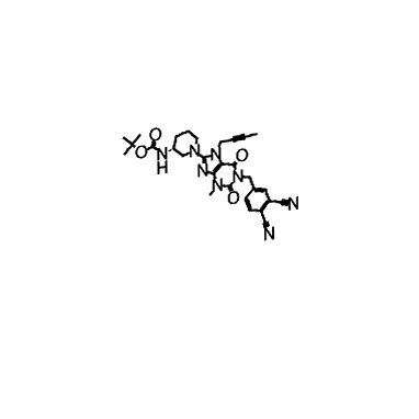 CC#CCn1c(N2CCC[C@@H](NC(=O)OC(C)(C)C)C2)nc2c1c(=O)n(Cc1ccc(C#N)c(C#N)c1)c(=O)n2C